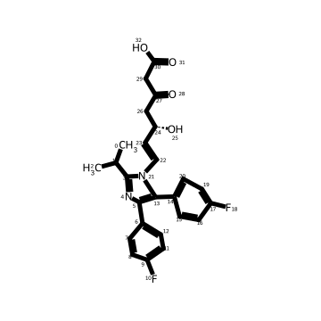 CC(C)c1nc(-c2ccc(F)cc2)c(-c2ccc(F)cc2)n1/C=C/[C@@H](O)CC(=O)CC(=O)O